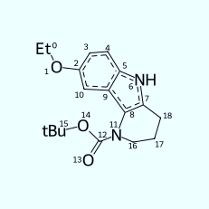 CCOc1ccc2[nH]c3c(c2c1)N(C(=O)OC(C)(C)C)CCC3